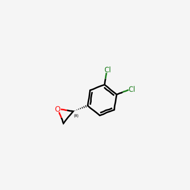 Clc1ccc([C@@H]2CO2)cc1Cl